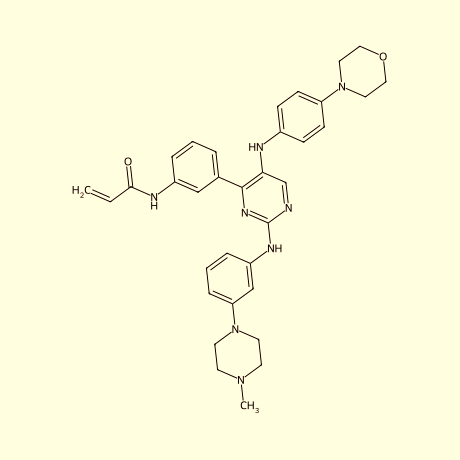 C=CC(=O)Nc1cccc(-c2nc(Nc3cccc(N4CCN(C)CC4)c3)ncc2Nc2ccc(N3CCOCC3)cc2)c1